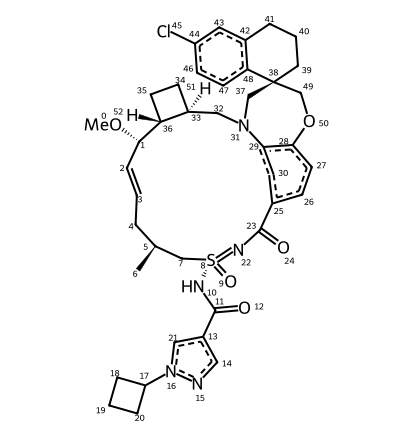 CO[C@H]1/C=C/C[C@H](C)C[S@@](=O)(NC(=O)c2cnn(C3CCC3)c2)=NC(=O)c2ccc3c(c2)N(C[C@@H]2CC[C@H]21)C[C@@]1(CCCc2cc(Cl)ccc21)CO3